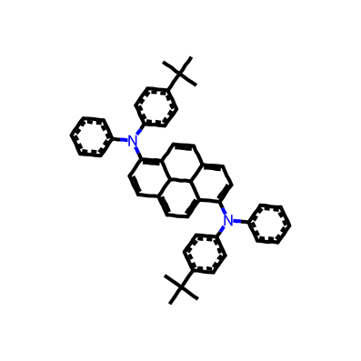 CC(C)(C)c1ccc(N(C2=CC=C3C=CC4=C(N(c5ccccc5)c5ccc(C(C)(C)C)cc5)C=CC5=CC=C2C3C54)c2ccccc2)cc1